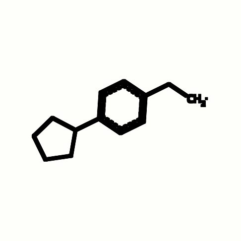 [CH2]Cc1ccc(C2CCCC2)cc1